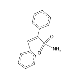 NS(=O)(=O)C(=Cc1ccccc1)c1ccccc1